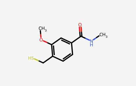 CNC(=O)c1ccc(CS)c(OC)c1